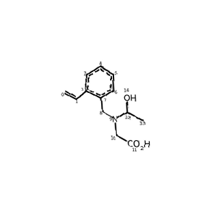 C=Cc1ccccc1CN(CC(=O)O)C(C)O